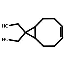 OCC1(CO)C2CC/C=C\CCC21